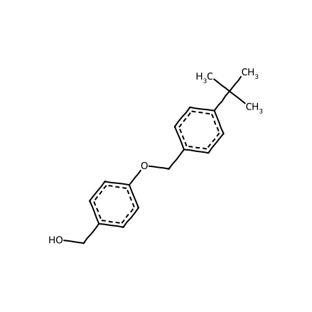 CC(C)(C)c1ccc(COc2ccc(CO)cc2)cc1